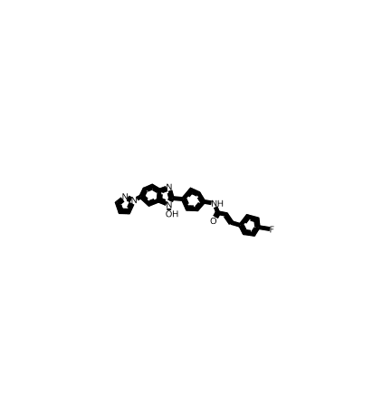 O=C(C=Cc1ccc(F)cc1)Nc1ccc(-c2nc3ccc(-n4cccn4)cc3n2O)cc1